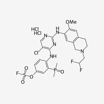 COc1cc2c(cc1Nc1ncc(Cl)c(Nc3ccc(OS(=O)(=O)F)cc3P(C)(C)=O)n1)CN(CC(F)F)CC2.Cl.Cl